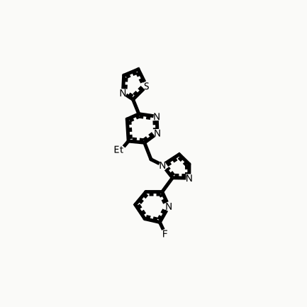 CCc1cc(-c2nccs2)nnc1Cn1ccnc1-c1cccc(F)n1